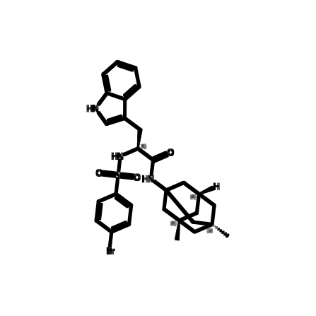 C[C@]12C[C@@H]3CC(NC(=O)[C@H](Cc4c[nH]c5ccccc45)NS(=O)(=O)c4ccc(Br)cc4)(C1)C[C@@](C)(C3)C2